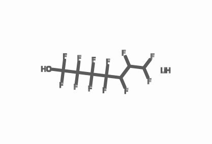 OC(F)(F)C(F)(F)C(F)(F)C(F)(F)C(F)C(F)C(F)F.[LiH]